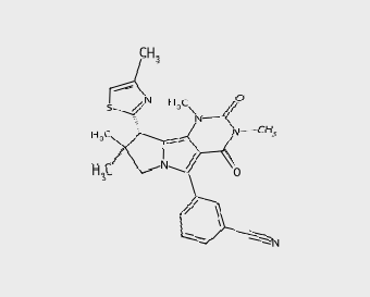 Cc1csc([C@@H]2c3c4c(c(-c5cccc(C#N)c5)n3CC2(C)C)c(=O)n(C)c(=O)n4C)n1